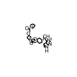 CN(c1ncnc2[nH]ccc12)[C@H]1CC[C@H](CS(=O)(=O)N2CCC(OCC(=O)N3CCCC3)C2)CC1